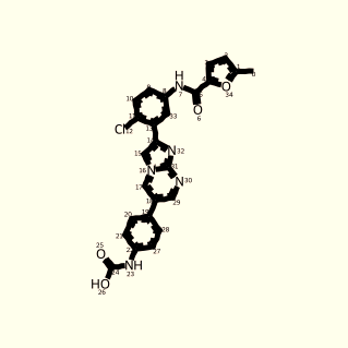 Cc1ccc(C(=O)Nc2ccc(Cl)c(-c3cn4cc(-c5ccc(NC(=O)O)cc5)cnc4n3)c2)o1